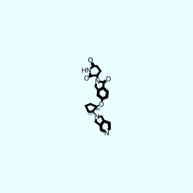 O=C1CCC(N2Cc3cc(O[C@@H]4CCC[C@@H]4N4Cc5ccncc5C4)ccc3C2=O)C(=O)N1